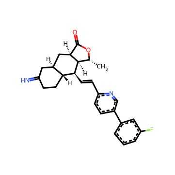 C[C@H]1OC(=O)[C@@H]2C[C@@H]3CC(=N)CC[C@H]3[C@H](/C=C/c3ccc(-c4cccc(F)c4)cn3)[C@H]12